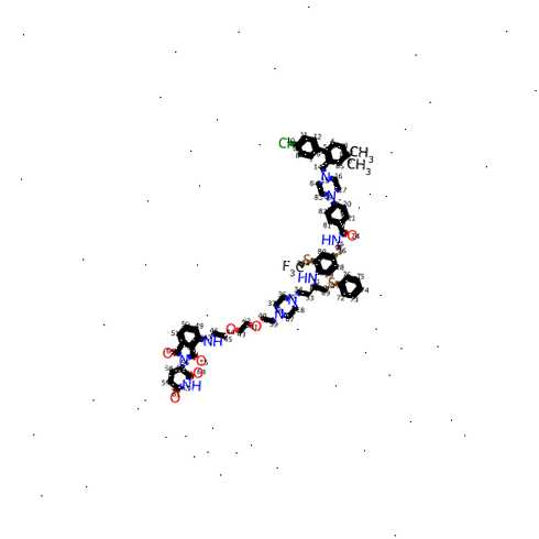 CC1(C)CCC(c2ccc(Cl)cc2)=C(CN2CCN(c3ccc(C(=O)NSc4ccc(N[C@H](CCN5CCN(CCOCCOCCNc6cccc7c6C(=O)N(C6CCC(=O)NC6=O)C7=O)CC5)CSc5ccccc5)c(SC(F)(F)F)c4)cc3)CC2)C1